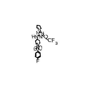 O=S(=O)(c1ccc(F)cc1)N1CCC(Nc2nc(OCC(F)(F)F)nc(N3CCCC3)n2)CC1